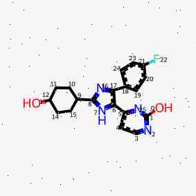 Oc1nccc(-c2[nH]c(C3CCC(O)CC3)nc2-c2ccc(F)cc2)n1